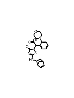 O=C1N=C(NC2CC3C=CC2C3)SC1C(C(=O)O)c1ccccc1N1CCOCC1